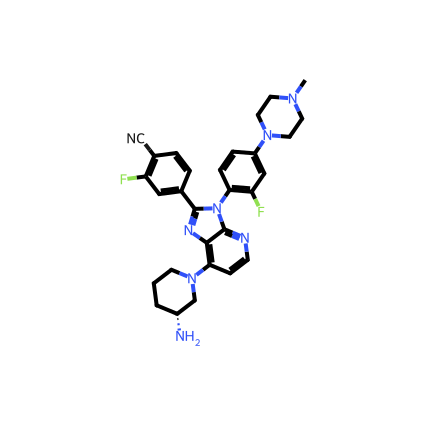 CN1CCN(c2ccc(-n3c(-c4ccc(C#N)c(F)c4)nc4c(N5CCC[C@@H](N)C5)ccnc43)c(F)c2)CC1